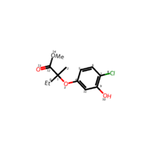 CCC(C)(Oc1ccc(Cl)c(O)c1)C(=O)OC